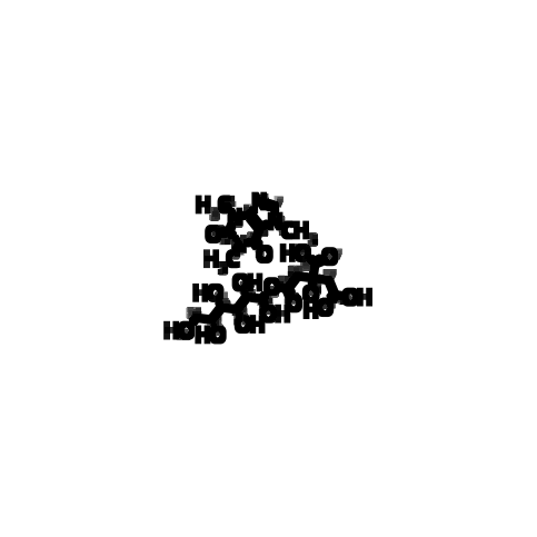 Cn1c(=O)c2c(ncn2C)n(C)c1=O.O=C(O)CC(O)(CC(=O)OC(O)[C@H](O)[C@@H](O)[C@H](O)[C@H](O)CO)C(=O)O